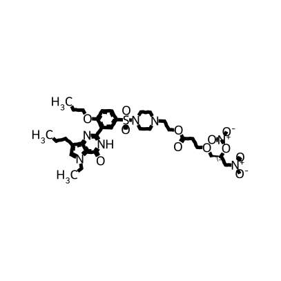 CCCOc1ccc(S(=O)(=O)N2CCN(CCOC(=O)CCOC[C@H](C[N+](=O)[O-])O[N+](=O)[O-])CC2)cc1-c1nc2c(CCC)cn(CC)c2c(=O)[nH]1